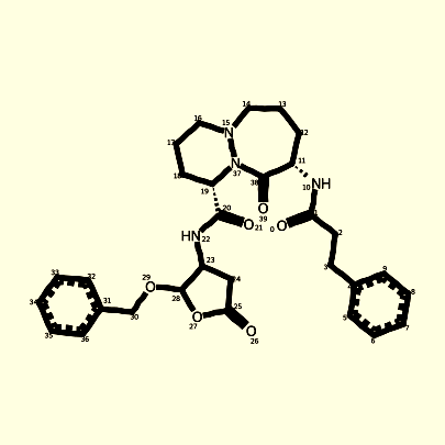 O=C(CCc1ccccc1)N[C@H]1CCCN2CCC[C@@H](C(=O)NC3CC(=O)OC3OCc3ccccc3)N2C1=O